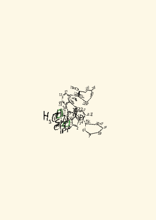 CC(C)C1=Cc2c(C3CCCCC3)cccc2[CH]1[Zr]([Cl])([Cl])([CH]1C(C(C)C)=Cc2c(C3CCCCC3)cccc21)[SiH](C)C